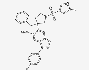 COc1cc2c(cnn2-c2ccc(F)cc2)cc1C1(Cc2ccccc2)CCN(S(=O)(=O)c2cnn(C)c2)C1